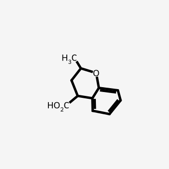 CC1CC(C(=O)O)c2ccccc2O1